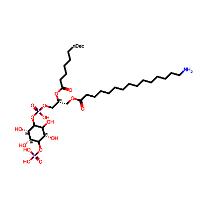 CCCCCCCCCCCCCCCC(=O)O[C@H](COC(=O)CCCCCCCCCCCCCCN)COP(=O)(O)OC1C(O)[C@H](O)C(OP(=O)(O)O)[C@H](O)[C@@H]1O